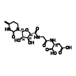 C=C1CCN([C@@H]2O[C@H](C(=O)NCC(=O)N[C@@H](CC(=O)O)C(=O)O)[C@@H](O)[C@H]2O)C(=O)N1